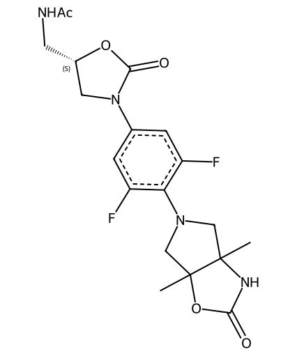 CC(=O)NC[C@H]1CN(c2cc(F)c(N3CC4(C)NC(=O)OC4(C)C3)c(F)c2)C(=O)O1